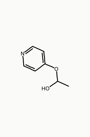 CC(O)Oc1ccncc1